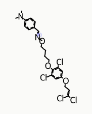 CN(C)c1ccc(/C=N/OCCCCOc2c(Cl)cc(OCC=C(Cl)Cl)cc2Cl)cc1